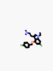 CCn1cc(CCN(C)C)c2c(OCc3ccc(F)cc3)cc(F)cc21